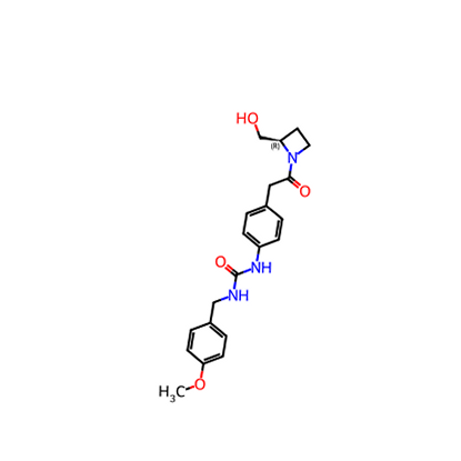 COc1ccc(CNC(=O)Nc2ccc(CC(=O)N3CC[C@@H]3CO)cc2)cc1